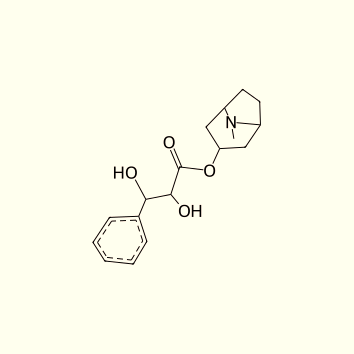 CN1C2CCC1CC(OC(=O)C(O)C(O)c1ccccc1)C2